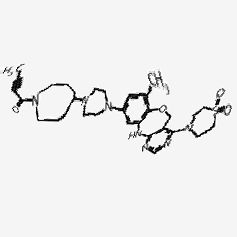 CC#CC(=O)N1CCC(N2CCN(c3cc(C)c4c(c3)Nc3ncnc(N5CCS(=O)(=O)CC5)c3CO4)CC2)CC1